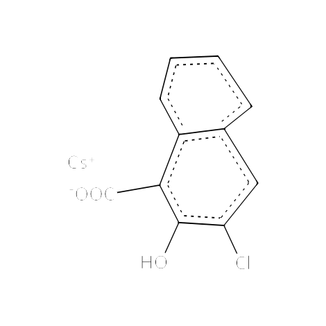 O=C([O-])c1c(O)c(Cl)cc2ccccc12.[Cs+]